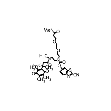 CNC(=O)CCOCCOCCN(CCN(C)C(=O)CC(C)(C)C1=C(C)C(=O)C(C)=C(C)C1=O)C(=O)Oc1ccc2nc(C#N)sc2c1